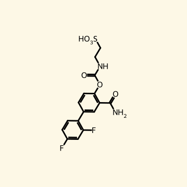 NC(=O)c1cc(-c2ccc(F)cc2F)ccc1OC(=O)NCCS(=O)(=O)O